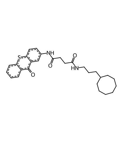 O=C(CCC(=O)Nc1ccc2sc3ccccc3c(=O)c2c1)NCCCC1CCCCCCC1